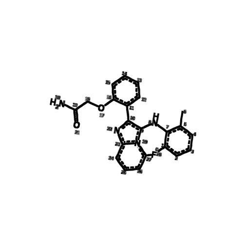 Cc1cccc(C)c1Nc1c(-c2ccccc2OCC(N)=O)nc2cccc(F)n12